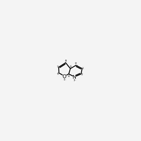 [C]1=CC=NC2OCC=CC12